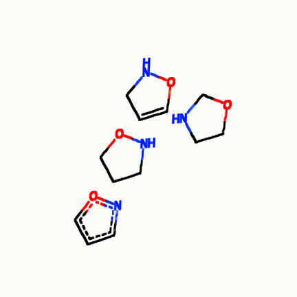 C1=CONC1.C1CNOC1.C1COCN1.c1cnoc1